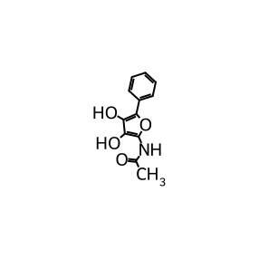 CC(=O)Nc1oc(-c2ccccc2)c(O)c1O